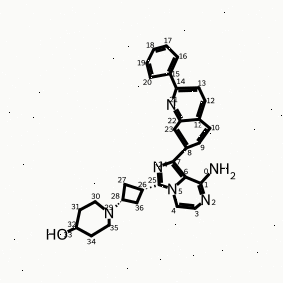 Nc1nccn2c1c(-c1ccc3ccc(-c4ccccc4)nc3c1)nc2[C@H]1C[C@@H](N2CCC(O)CC2)C1